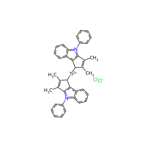 CC1=C(C)[CH]([Ti+2][CH]2C(C)=C(C)c3c2c2ccccc2n3-c2ccccc2)c2c1n(-c1ccccc1)c1ccccc21.[Cl-].[Cl-]